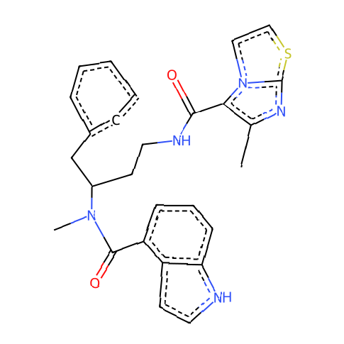 Cc1nc2sccn2c1C(=O)NCCC(Cc1ccccc1)N(C)C(=O)c1cccc2[nH]ccc12